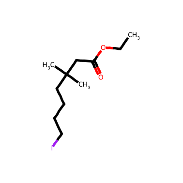 CCOC(=O)CC(C)(C)CCCCI